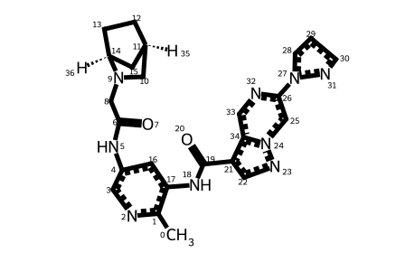 Cc1ncc(NC(=O)CN2C[C@@H]3CC[C@H]2C3)cc1NC(=O)c1cnn2cc(-n3cccn3)ncc12